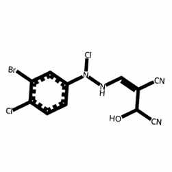 N#CC(=CNN(Cl)c1ccc(Cl)c(Br)c1)C(O)C#N